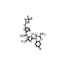 CC(C(N)=O)N(c1ccc(F)cc1)c1nc(N)c(C(O)c2cc(CN3CC(F)(F)C3)no2)s1